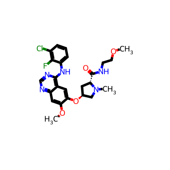 COCCNC(=O)[C@H]1C[C@H](Oc2cc3c(Nc4cccc(Cl)c4F)ncnc3cc2OC)CN1C